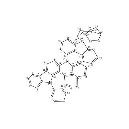 c1ccc(-n2c3ccccc3c3ccc(N(c4cccc5c4-c4ccccc4C54C5CCC6CC(C5)CC4C6)c4cccc5ccccc45)cc32)cc1